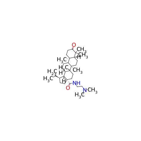 C=C(C)[C@@H]1CC[C@]2(C(=O)NCCN(C)C)CC[C@]3(C)[C@H](CCC4[C@@]5(C)CCC(=O)C(C)(C)[C@@H]5CC[C@]43C)[C@@H]12